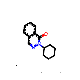 O=c1c2ccccc2cnn1C1CCCCC1